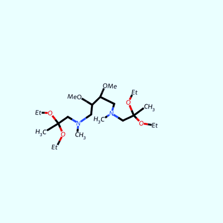 CCOC(C)(CN(C)CC(OC)C(CN(C)CC(C)(OCC)OCC)OC)OCC